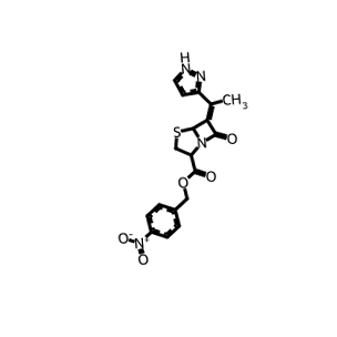 CC(=C1C(=O)N2C(C(=O)OCc3ccc([N+](=O)[O-])cc3)CSC12)c1cc[nH]n1